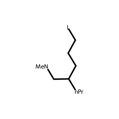 CCCC(CCCI)CNC